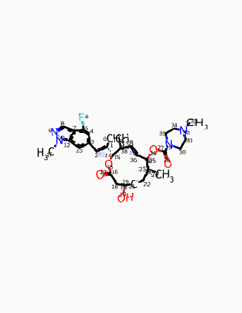 C/C(=C\c1cc(F)c2cnn(C)c2c1)[C@H]1OC(=O)C[C@H](O)CC[C@H](C)[C@H](OC(=O)N2CCN(C)CC2)/C=C/[C@@H]1C